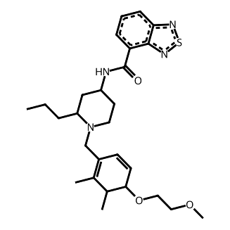 CCCC1CC(NC(=O)c2cccc3nsnc23)CCN1CC1=C(C)C(C)C(OCCOC)C=C1